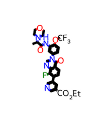 CCOC(=O)c1cncc(-c2ccc3c(=O)n(-c4ccc(OC(F)(F)F)c(NC(=O)C(C)N5CCOCC5)c4)cnc3c2F)c1